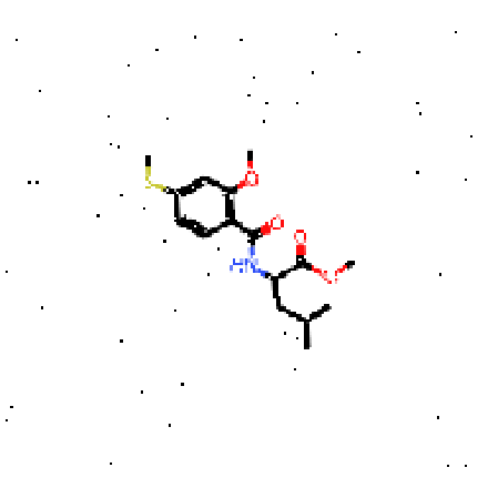 COC(=O)C(CC(C)C)NC(=O)c1ccc(SC)cc1OC